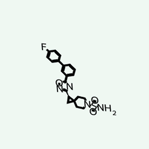 NS(=O)(=O)N1CCC2(CC1)C[C@H]2c1noc(-c2cccc(-c3ccc(F)cc3)c2)n1